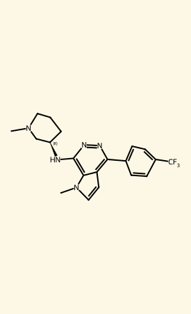 CN1CCC[C@@H](Nc2nnc(-c3ccc(C(F)(F)F)cc3)c3ccn(C)c23)C1